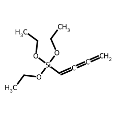 C=C=C=C[Si](OCC)(OCC)OCC